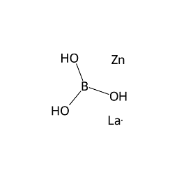 OB(O)O.[La].[Zn]